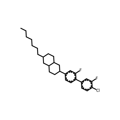 CCCCCCCC1CCC2CC(c3ccc(-c4ccc(Cl)c(F)c4)c(F)c3)CCC2C1